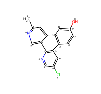 Cc1ccc(-c2ncc(Cl)cc2-c2ccc(O)cc2)cn1